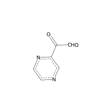 O=CC(=O)c1cnccn1